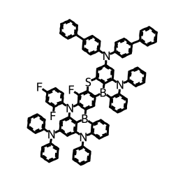 Fc1ccc(N2c3cc(N(c4ccccc4)c4ccccc4)cc4c3B(c3ccccc3N4c3ccccc3)c3cc4c(c(F)c32)Sc2cc(N(c3ccc(-c5ccccc5)cc3)c3ccc(-c5ccccc5)cc3)cc3c2B4c2ccccc2N3c2ccccc2)c(F)c1